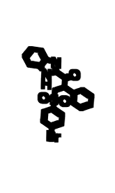 O=C(c1nc2ccccc2[nH]1)C(CS(=O)(=O)c1ccc(Br)cc1)c1ccccc1